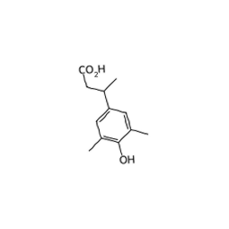 Cc1cc(C(C)CC(=O)O)cc(C)c1O